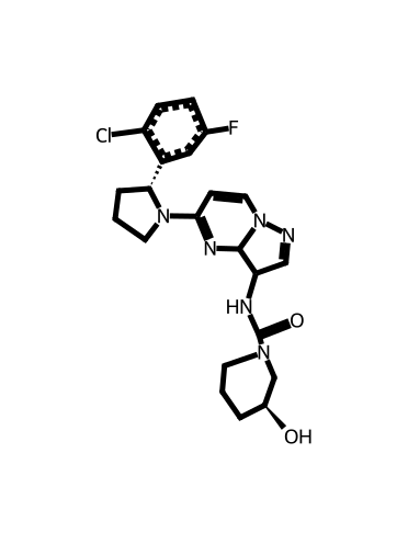 O=C(NC1C=NN2C=CC(N3CCC[C@@H]3c3cc(F)ccc3Cl)=NC12)N1CCC[C@H](O)C1